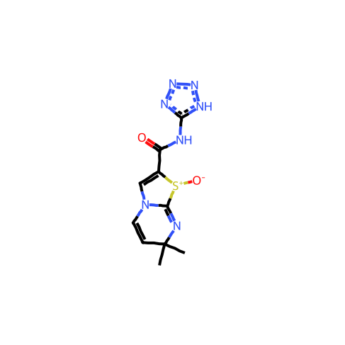 CC1(C)C=CN2C=C(C(=O)Nc3nnn[nH]3)[S+]([O-])C2=N1